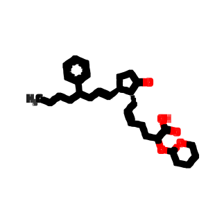 CCCCC(C/C=C/[C@H]1CCC(=O)[C@@H]1C/C=C\CCC(OC1CCCCO1)C(=O)O)c1ccccc1